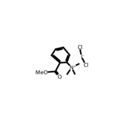 COC(=O)c1ccccc1[N+](C)(C)C.Cl[I-]Cl